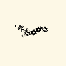 CS(=O)(=O)C(C(=O)NCCS(N)(=O)=O)c1nc2ccc(-c3ccc(CN4CCOCC4)cc3)cc2s1